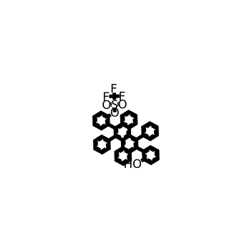 O=S(=O)(Oc1ccccc1-c1c(-c2ccccc2)c2c3ccccc3c(-c3ccccc3O)c(-c3ccccc3)c2c2ccccc12)C(F)(F)F